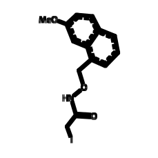 COc1ccc2cccc(CONC(=O)CI)c2c1